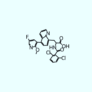 COc1ncc(F)cc1-c1ccc(CC(NC(=O)c2c(Cl)cccc2Cl)C(=O)O)c2ncccc12